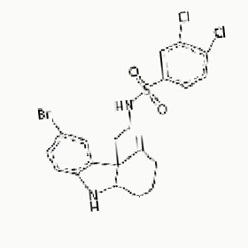 C=C1CCCC2Nc3ccc(Br)cc3C12CCNS(=O)(=O)c1ccc(Cl)c(Cl)c1